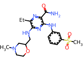 CCc1nc(C(N)=O)c(Nc2cccc(S(C)(=O)=O)c2)nc1NCC1CN(C)CCO1